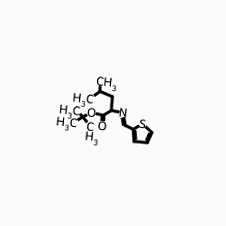 CC(C)CC(/N=C/c1cccs1)C(=O)OC(C)(C)C